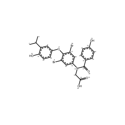 CC(C)c1cc(Oc2c(Br)cc(N(CC(=O)O)C(=O)c3ccc(O)cc3)cc2Br)ccc1O